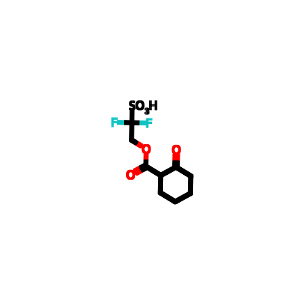 O=C1CCCCC1C(=O)OCC(F)(F)S(=O)(=O)O